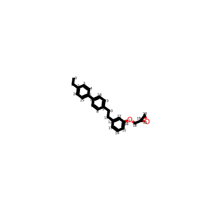 CCc1ccc(-c2ccc(CCc3cccc(OCC4CO4)c3)cc2)cc1